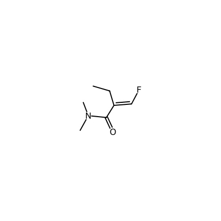 CC/C(=C\F)C(=O)N(C)C